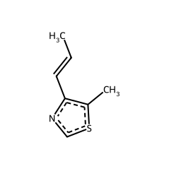 C/C=C/c1ncsc1C